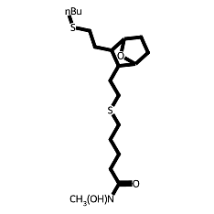 CCCCSCCC1C2CCC(O2)C1CCSCCCCC(=O)N(C)O